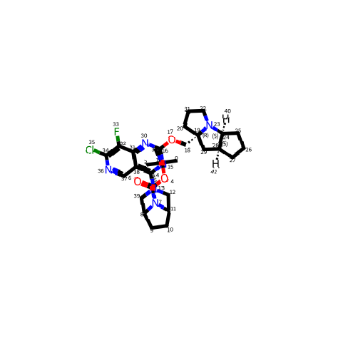 CC(C)(C)OC(=O)N1C2CCC1CN(c1nc(OC[C@]34CCCN3[C@H]3CCC[C@H]3C4)nc3c(F)c(Cl)ncc13)C2